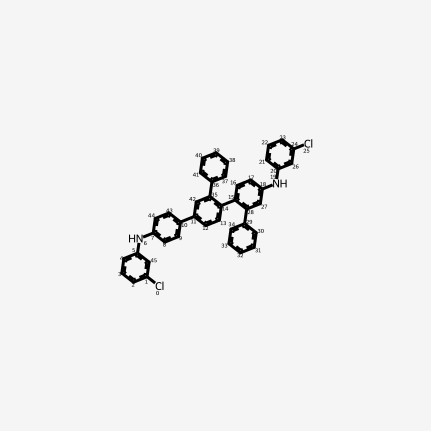 Clc1cccc(Nc2ccc(-c3ccc(-c4ccc(Nc5cccc(Cl)c5)cc4-c4ccccc4)c(-c4ccccc4)c3)cc2)c1